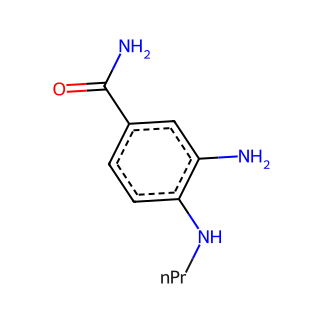 CCCNc1ccc(C(N)=O)cc1N